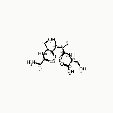 C[C@H](N)C(=O)N[C@@H](CO)C(=O)N[C@@H](C)C(=O)N[C@@H](CO)C(=O)O